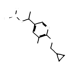 CC(N[S@+]([O-])C(C)(C)C)c1cnc(OCC2CC2)c(Cl)c1